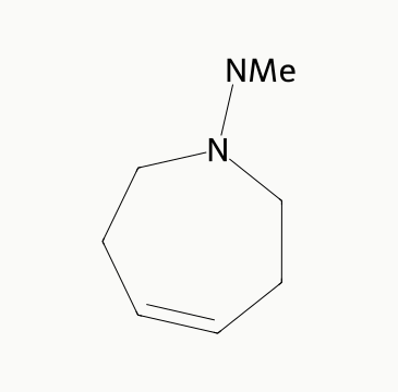 CNN1CCC=CCC1